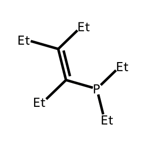 CCC(CC)=C(CC)P(CC)CC